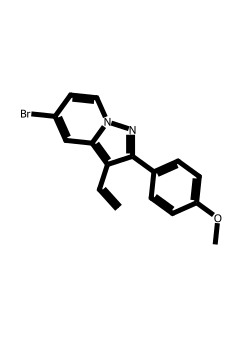 C=Cc1c(-c2ccc(OC)cc2)nn2ccc(Br)cc12